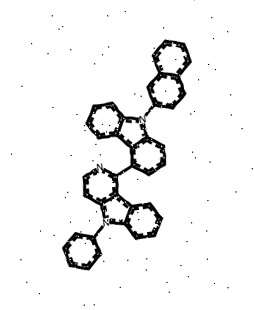 c1ccc(-n2c3ccccc3c3c(-c4cccc5c4c4ccccc4n5-c4ccc5ccccc5c4)nccc32)cc1